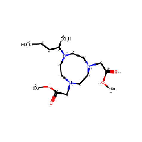 CC(C)(C)OC(=O)CN1CCN(CC(=O)OC(C)(C)C)CCN(C(CCC(=O)O)C(=O)O)CC1